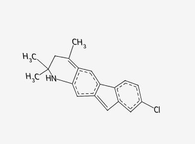 CC1=c2cc3c(cc2NC(C)(C)C1)=Cc1cc(Cl)ccc1-3